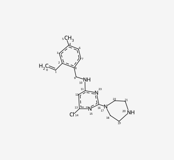 C=Cc1cc(C)ccc1CNc1cc(Cl)nc(N2CCNCC2)n1